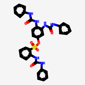 O=C(Nc1ccccc1)Nc1ccc(OS(=O)(=O)c2ccccc2NC(=O)Nc2ccccc2)cc1NC(=O)Nc1ccccc1